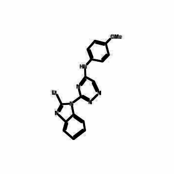 CCc1nc2ccccc2n1-c1nncc(Nc2ccc(OC)cc2)n1